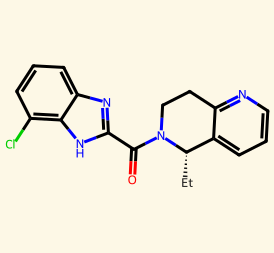 CC[C@H]1c2cccnc2CCN1C(=O)c1nc2cccc(Cl)c2[nH]1